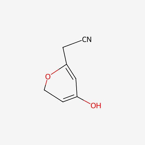 N#CCC1=CC(O)=CCO1